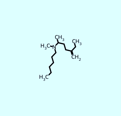 C=C(CC)CCC(C)N(C)CCCCCC